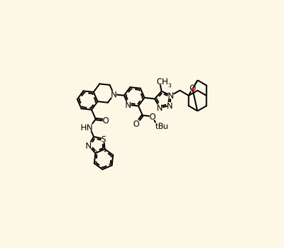 Cc1c(-c2ccc(N3CCc4cccc(C(=O)Nc5nc6ccccc6s5)c4C3)nc2C(=O)OC(C)(C)C)nnn1CC12CC3CC(CC(C3)O1)C2